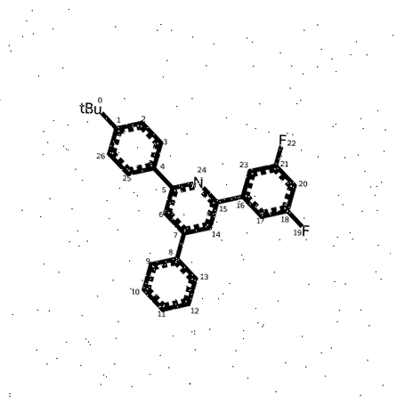 CC(C)(C)c1ccc(-c2cc(-c3ccccc3)cc(-c3cc(F)cc(F)c3)n2)cc1